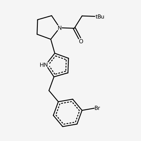 CC(C)(C)CC(=O)N1CCCC1c1ccc(Cc2cccc(Br)c2)[nH]1